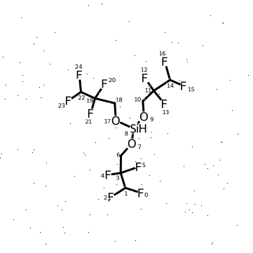 FC(F)C(F)(F)CO[SiH](OCC(F)(F)C(F)F)OCC(F)(F)C(F)F